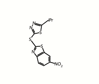 CC(C)c1nnc(Sc2nc3ccc([N+](=O)[O-])cc3s2)s1